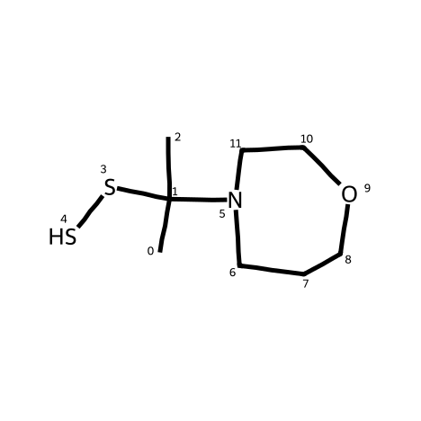 CC(C)(SS)N1CCCOCC1